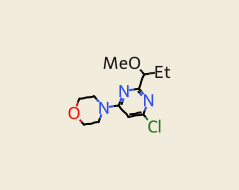 CCC(OC)c1nc(Cl)cc(N2CCOCC2)n1